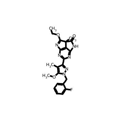 CCOC1=Nc2nc(-c3nn(Cc4ccccc4F)c(OC)c3C)nc3c2C1(C)C(=O)N3